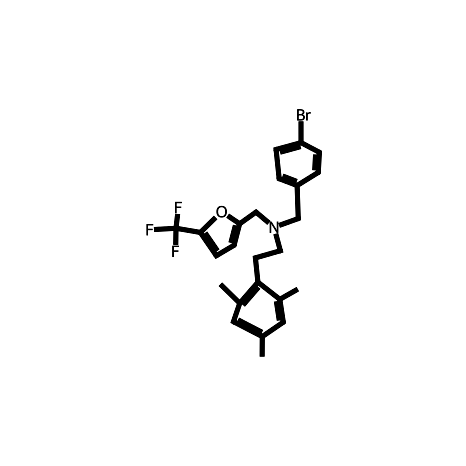 Cc1cc(C)c(CCN(Cc2ccc(Br)cc2)Cc2ccc(C(F)(F)F)o2)c(C)c1